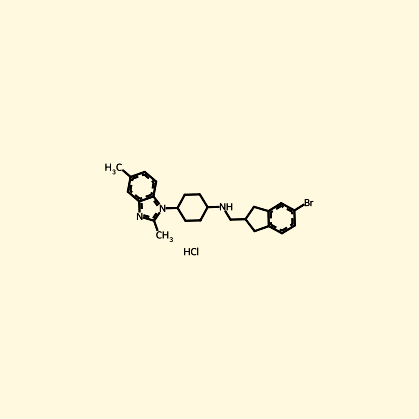 Cc1ccc2c(c1)nc(C)n2C1CCC(NCC2Cc3ccc(Br)cc3C2)CC1.Cl